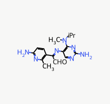 Cc1nc(N)ccc1/C(C=O)=N/c1cnc(N)nc1N(C)C(C)C